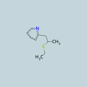 CCSC(C)Cc1ccccn1